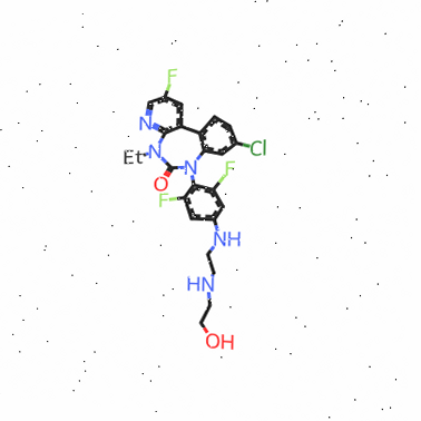 CCN1C(=O)N(c2c(F)cc(NCCNCCO)cc2F)c2cc(Cl)ccc2-c2cc(F)cnc21